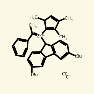 CC1=CC(C)[C](/[Zr+2](=[C](\C)c2ccccc2)[CH]2c3ccc(C(C)(C)C)cc3-c3cc(C(C)(C)C)ccc32)=C1C.[Cl-].[Cl-]